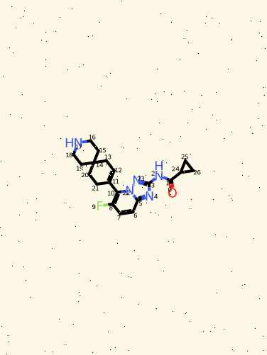 O=C(Nc1nc2ccc(F)c(C3=CCC4(CCNCC4)CC3)n2n1)C1CC1